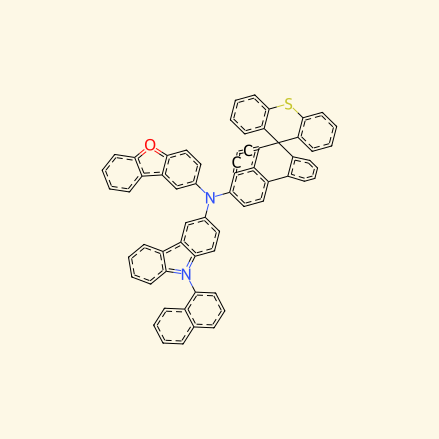 c1ccc2c(c1)Sc1ccccc1C21c2ccccc2-c2ccc(N(c3ccc4oc5ccccc5c4c3)c3ccc4c(c3)c3ccccc3n4-c3cccc4ccccc34)c3cccc1c23